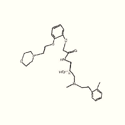 Cc1ccccc1CCN(C)C[C@H](O)CNC(=O)COc1ccccc1OCCN1CCOCC1